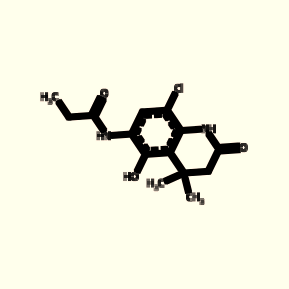 CCC(=O)Nc1cc(Cl)c2c(c1O)C(C)(C)CC(=O)N2